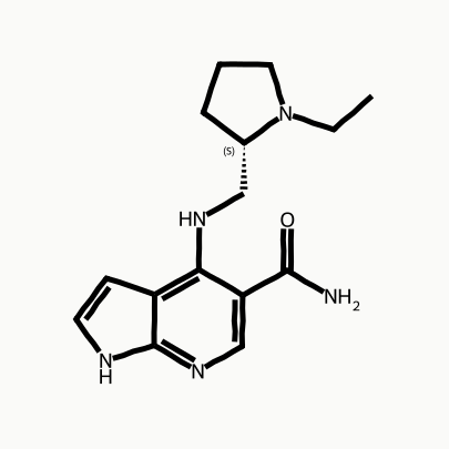 CCN1CCC[C@H]1CNc1c(C(N)=O)cnc2[nH]ccc12